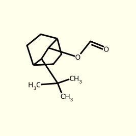 CC(C)(C)C1C2CCC(CC2)C1OC=O